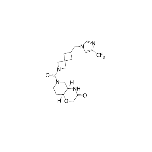 O=C1CO[C@H]2CCN(C(=O)N3CC4(CC(Cn5cnc(C(F)(F)F)c5)C4)C3)C[C@H]2N1